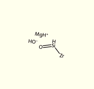 O=[SiH][Zr].[MgH+].[OH-]